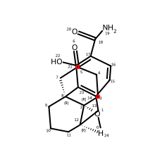 CO[C@@]12CCC(=O)C[C@@]13CCC[C@@H]2Cc1ccc(C(N)=O)c(O)c13